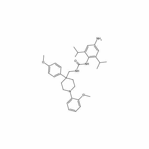 COc1ccc(C2(CNC(=O)Nc3c(C(C)C)cc(N)cc3C(C)C)CCN(c3ccccc3OC)CC2)cc1